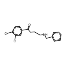 O=C(CCCNCc1ccccc1)c1ccc(Cl)c(Cl)c1